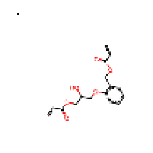 C=CC(=O)OCc1ccccc1OCC(O)COC(=O)C=C